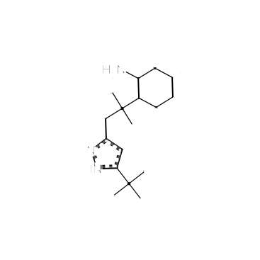 CC(C)(C)c1cc(CC(C)(C)C2CCCCC2N)n[nH]1